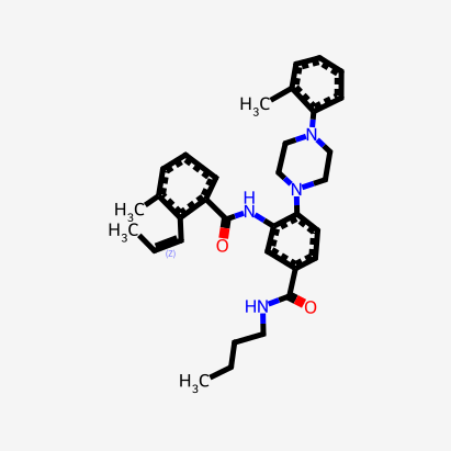 C/C=C\c1c(C)cccc1C(=O)Nc1cc(C(=O)NCCCC)ccc1N1CCN(c2ccccc2C)CC1